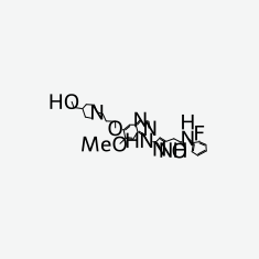 COc1cc2c(Nc3cc(CC(=O)Nc4ccccc4F)[nH]n3)ncnc2cc1OCCCN1CCC(CO)CC1